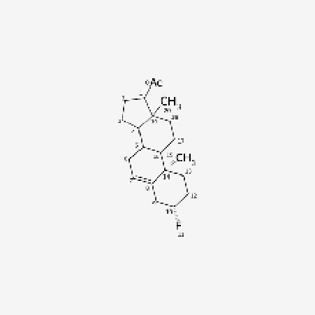 CC(=O)C1CCC2C3CC=C4C[C@@H](F)CC[C@]4(C)C3CCC12C